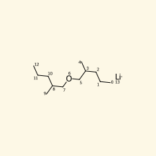 CCCC(C)COCC(C)CCC.[Li]